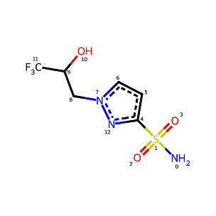 NS(=O)(=O)c1ccn(CC(O)C(F)(F)F)n1